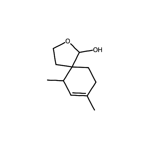 CC1=CC(C)C2(CCOC2O)CC1